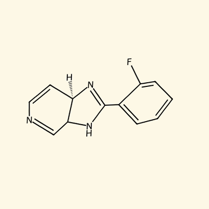 Fc1ccccc1C1=N[C@@H]2C=CN=CC2N1